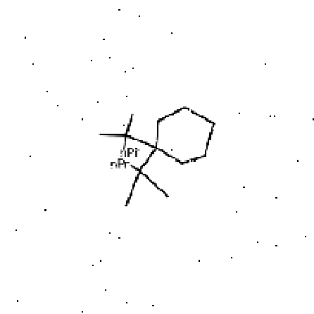 CCCC(C)(C)C1(C(C)(C)CCC)CCCCC1